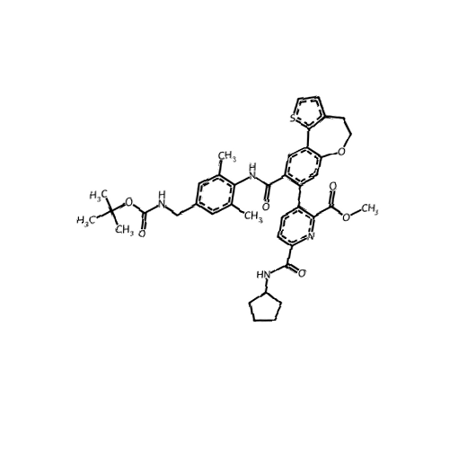 COC(=O)c1nc(C(=O)NC2CCCC2)ccc1-c1cc2c(cc1C(=O)Nc1c(C)cc(CNC(=O)OC(C)(C)C)cc1C)-c1sccc1CCO2